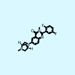 CN1C[C@@H]2C[C@H]1CN2c1ccc2nc(-c3cc(F)ccc3F)n(C)c(=O)c2c1